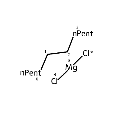 [CH2]CCCCCCCCCCC.[Cl][Mg][Cl]